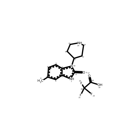 Cc1ccc2c(c1)[nH]c(=O)n2C1CCNCC1.O=C(O)C(F)(F)F